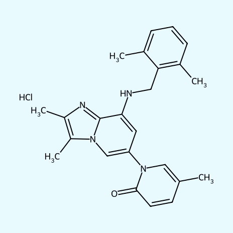 Cc1ccc(=O)n(-c2cc(NCc3c(C)cccc3C)c3nc(C)c(C)n3c2)c1.Cl